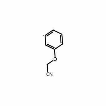 N#CCOc1c[c]ccc1